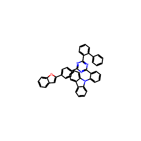 c1ccc(-c2ccccc2-c2nc(-c3ccc(-c4cc5ccccc5o4)cc3)nc(-c3ccccc3-n3c4ccccc4c4ccccc43)n2)cc1